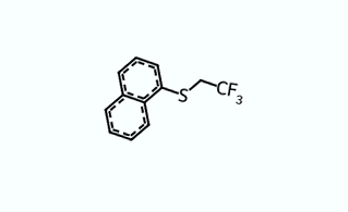 FC(F)(F)CSc1cccc2ccccc12